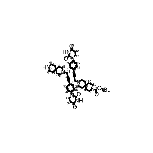 CC(C)(C)OC(=O)N1CCC2(CCN(CC#Cc3ccc(N4CCC(=O)NC4=O)cc3)CC2)CC1.O=C1CCN(c2ccc(C#CCN3CCC4(CCNCC4)CC3)cc2)C(=O)N1